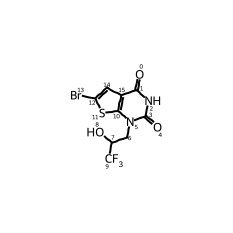 O=c1[nH]c(=O)n(CC(O)C(F)(F)F)c2sc(Br)cc12